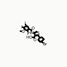 COc1c(I)c(I)cc(C(=O)Nc2csc(-c3ccc(Br)cc3)c2C(=O)O)c1I